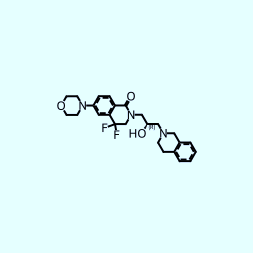 O=C1c2ccc(N3CCOCC3)cc2C(F)(F)CN1C[C@H](O)CN1CCc2ccccc2C1